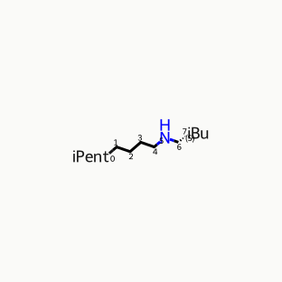 CCCC(C)CCCCNC[C@@H](C)CC